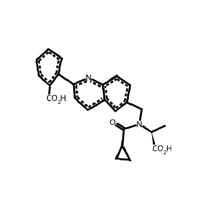 C[C@@H](C(=O)O)N(Cc1ccc2nc(-c3ccccc3C(=O)O)ccc2c1)C(=O)C1CC1